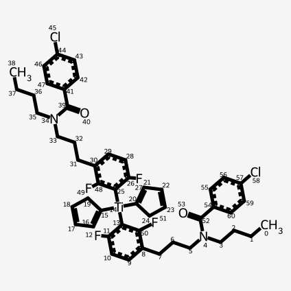 CCCCN(CCCc1ccc(F)[c]([Ti]([C]2=CC=CC2)([C]2=CC=CC2)[c]2c(F)ccc(CCCN(CCCC)C(=O)c3ccc(Cl)cc3)c2F)c1F)C(=O)c1ccc(Cl)cc1